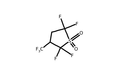 O=S1(=O)C(F)(F)CC(C(F)(F)F)C1(F)F